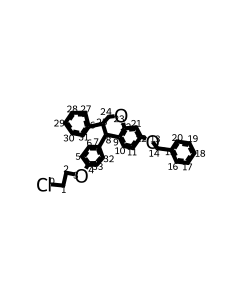 ClCCOc1ccc(C2c3ccc(OCc4ccccc4)cc3OCC2c2ccccc2)cc1